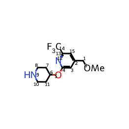 COCc1cc(OC2CCNCC2)nc(C(F)(F)F)c1